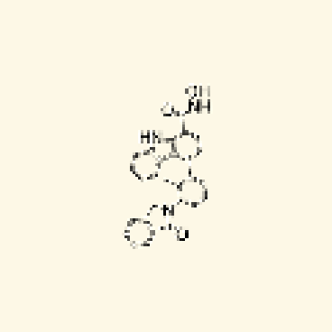 Cc1c(-c2ccc(C(=O)NO)c3[nH]c4ccccc4c23)cccc1N1Cc2ccccc2C1=O